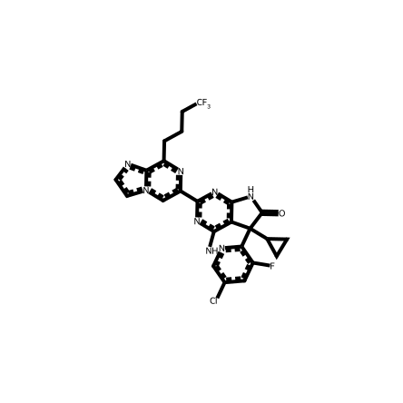 Nc1nc(-c2cn3ccnc3c(CCCC(F)(F)F)n2)nc2c1C(c1ncc(Cl)cc1F)(C1CC1)C(=O)N2